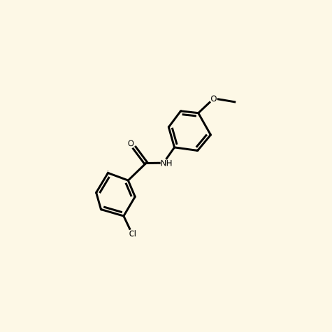 COc1ccc(NC(=O)c2[c]ccc(Cl)c2)cc1